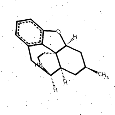 C[C@@H]1C[C@@H]2Oc3cccc4c3[C@@]23CCN[C@H](C4)[C@@H]3C1